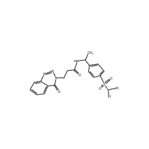 CCN(CC)S(=O)(=O)c1ccc(C(C)NC(=O)CCn2nnc3ccccc3c2=O)cc1